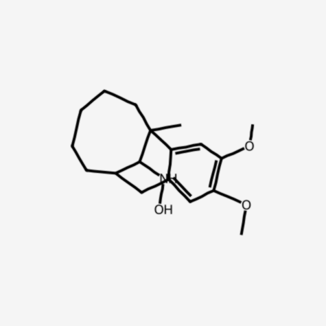 COc1cc2c(cc1OC)C1(C)CCCCCC(C2)C1NO